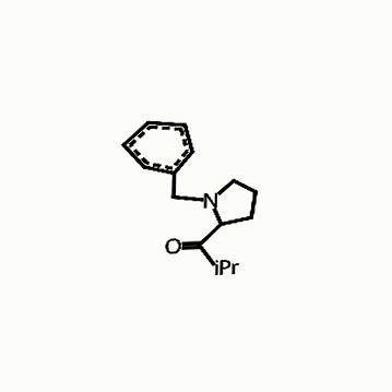 CC(C)C(=O)C1CCCN1Cc1ccccc1